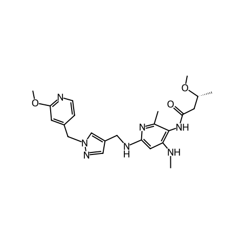 CNc1cc(NCc2cnn(Cc3ccnc(OC)c3)c2)nc(C)c1NC(=O)C[C@@H](C)OC